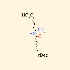 CCCCCCCCCCCCCCCC(=O)N[C@H](N)CCCCC(=O)O